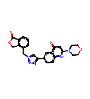 O=C1OCc2c(Cn3cc(-c4ccc5[nH]c(N6CCOCC6)cc(=O)c5c4)nn3)cccc21